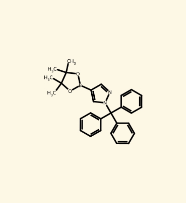 CC1(C)OB(c2cnn(C(c3ccccc3)(c3ccccc3)c3ccccc3)c2)OC1(C)C